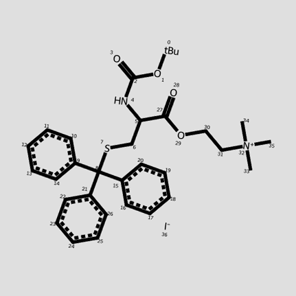 CC(C)(C)OC(=O)NC(CSC(c1ccccc1)(c1ccccc1)c1ccccc1)C(=O)OCC[N+](C)(C)C.[I-]